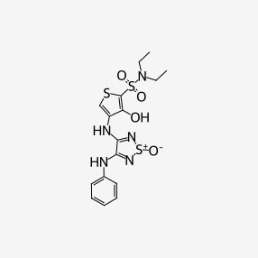 CCN(CC)S(=O)(=O)c1scc(Nc2n[s+]([O-])nc2Nc2ccccc2)c1O